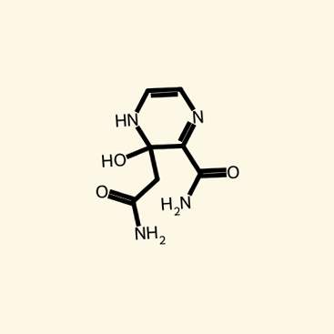 NC(=O)CC1(O)NC=CN=C1C(N)=O